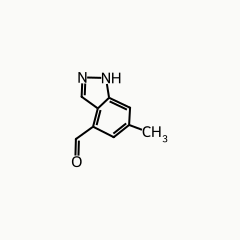 Cc1cc(C=O)c2cn[nH]c2c1